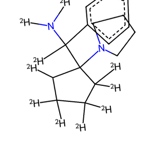 [2H]C1C([2H])([2H])C([2H])([2H])C([2H])([2H])C1(N1CCCC1)C([2H])(c1ccccc1)N([2H])[2H]